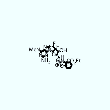 CCOC(=O)[C@@H](C)NP(=O)(OC[C@H]1O[C@@H](n2cnc3c(NC)nc(N)nc32)[C@@](F)(C(F)F)[C@@H]1O)Oc1ccccc1